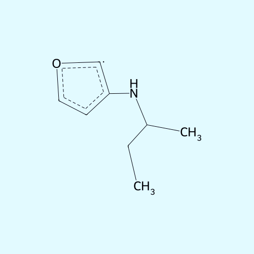 CCC(C)Nc1[c]occ1